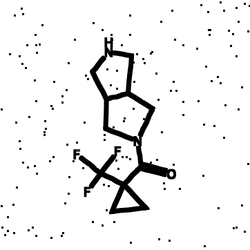 O=C(N1CC2CNCC2C1)C1(C(F)(F)F)CC1